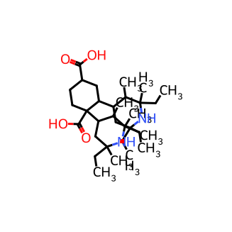 CCC1(C)CC(C2CC(C(=O)O)CCC2(C(=O)O)C2CC(C)(CC)NC(C)(CC)C2C)C(C)C(C)(CC)N1